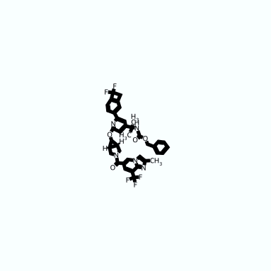 Cc1cn2cc(C(=O)N3C[C@@H]4C(Oc5cc(C(C)(C)NC(=O)OCc6ccccc6)cc(-c6ccc7c(c6)CC7(F)F)n5)[C@@H]4C3)cc(C(F)(F)F)c2n1